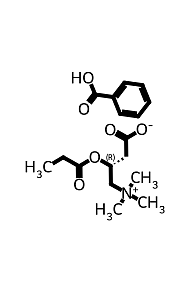 CCC(=O)O[C@H](CC(=O)[O-])C[N+](C)(C)C.O=C(O)c1ccccc1